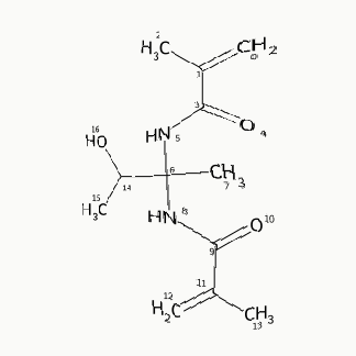 C=C(C)C(=O)NC(C)(NC(=O)C(=C)C)C(C)O